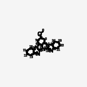 COc1cc2c3c(c1)n1c4ccccc4nc1n3c1nc3ccccc3n21